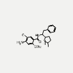 COc1cc(N)c(Cl)cc1C(=O)NC(Cc1ccccc1)C1CCC(C)N1